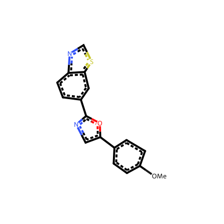 COc1ccc(-c2cnc(-c3ccc4ncsc4c3)o2)cc1